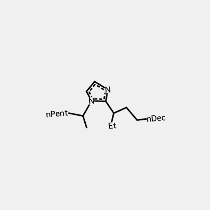 CCCCCCCCCCCCC(CC)c1nccn1C(C)CCCCC